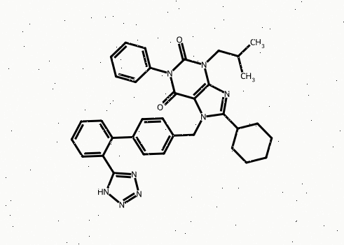 CC(C)Cn1c(=O)n(-c2ccccc2)c(=O)c2c1nc(C1CCCCC1)n2Cc1ccc(-c2ccccc2-c2nnn[nH]2)cc1